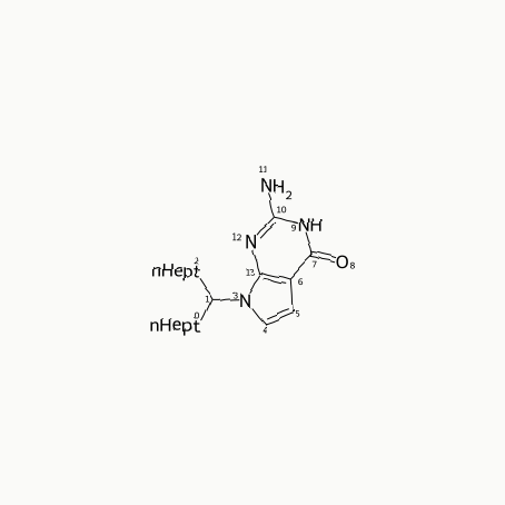 CCCCCCCC(CCCCCCC)n1ccc2c(=O)[nH]c(N)nc21